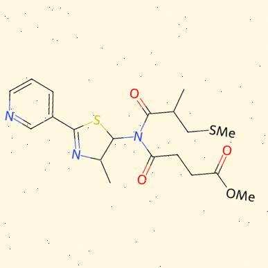 COC(=O)CCC(=O)N(C(=O)C(C)CSC)C1SC(c2cccnc2)=NC1C